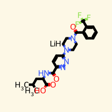 CC(C)CC(NC(=O)c1ccc(N2CCN(C(=O)c3ccccc3C(F)(F)F)CC2)nn1)C(=O)O.[LiH]